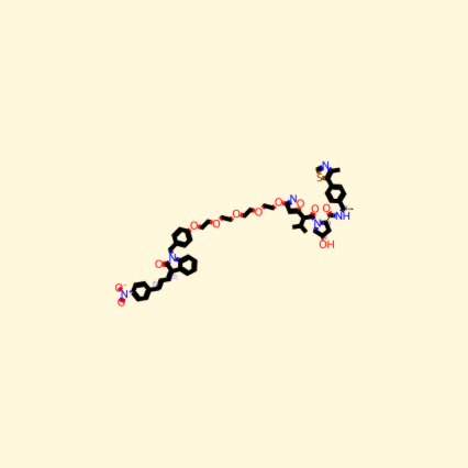 Cc1ncsc1-c1ccc([C@H](C)NC(=O)[C@@H]2C[C@@H](O)CN2C(=O)C(c2cc(OCCOCCOCCOCCOc3ccc(CN4C(=O)/C(=C\C=C\c5ccc([N+](=O)[O-])cc5)c5ccccc54)cc3)no2)C(C)C)cc1